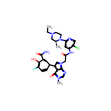 CCN1CCN(c2cc(NC(=O)Cn3cc(C4C#CC(F)=C(O)C(C(N)=O)=C4)c4c(=O)n(C)cnc43)c(Cl)cn2)[C@@H](C)C1